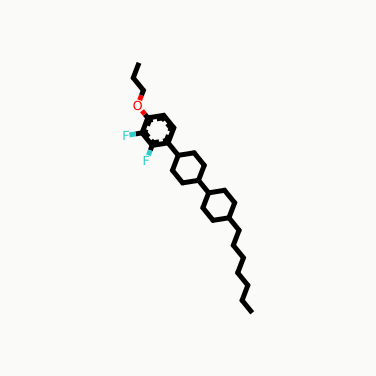 CCCCCCCC1CCC(C2CCC(c3ccc(OCCC)c(F)c3F)CC2)CC1